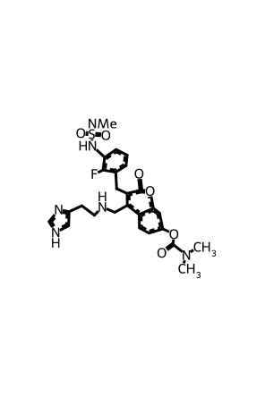 CNS(=O)(=O)Nc1cccc(Cc2c(CNCCc3c[nH]cn3)c3ccc(OC(=O)N(C)C)cc3oc2=O)c1F